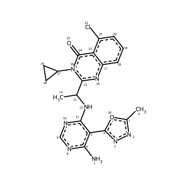 Cc1nnc(-c2c(N)ncnc2NC(C)c2nc3cccc(Cl)c3c(=O)n2C2CC2)o1